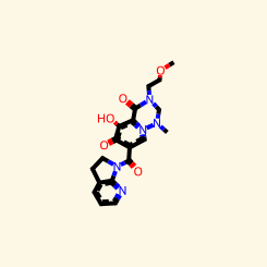 COCCN1CN(C)n2cc(C(=O)N3CCc4cccnc43)c(=O)c(O)c2C1=O